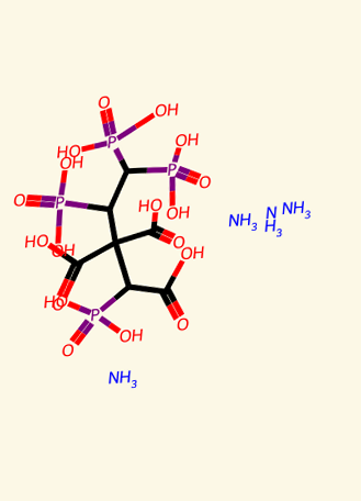 N.N.N.N.O=C(O)C(C(C(=O)O)(C(=O)O)C(C(P(=O)(O)O)P(=O)(O)O)P(=O)(O)O)P(=O)(O)O